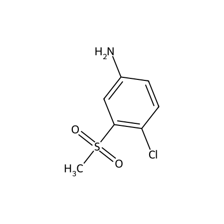 CS(=O)(=O)c1cc(N)ccc1Cl